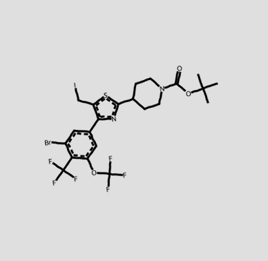 CC(C)(C)OC(=O)N1CCC(c2nc(-c3cc(Br)c(C(F)(F)F)c(OC(F)(F)F)c3)c(CI)s2)CC1